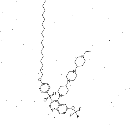 CCCCCCCCCCCCCCCCCCOc1ccc(S(=O)(=O)c2cnc3ccc(OC(F)(F)F)cc3c2N2CCC(N3CCN(C4CCN(CC)CC4)CC3)CC2)cc1